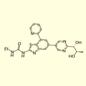 CCNC(=O)Nc1nc2cc(-c3cnc([C@H](O)[C@@H](C)O)nc3)cc(-c3ccccn3)c2s1